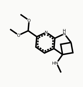 CNC12CC(C1)Nc1nc(C(OC)OC)ccc12